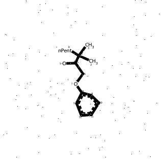 CCCCCC(C)(C)C([O])COc1ccccc1